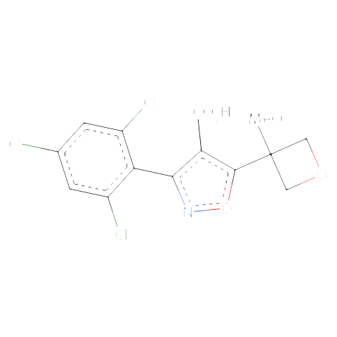 COC1(c2onc(-c3c(Cl)cc(Cl)cc3Cl)c2C(=O)O)COC1